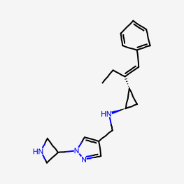 CC/C(=C\c1ccccc1)[C@@H]1C[C@H]1NCc1cnn(C2CNC2)c1